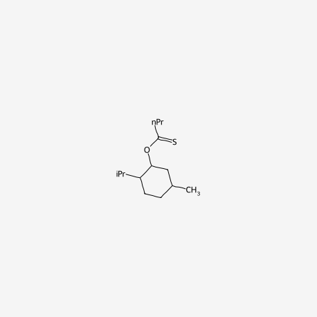 CCCC(=S)OC1CC(C)CCC1C(C)C